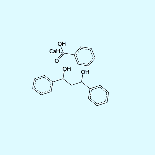 O=C(O)c1ccccc1.OC(CC(O)c1ccccc1)c1ccccc1.[CaH2]